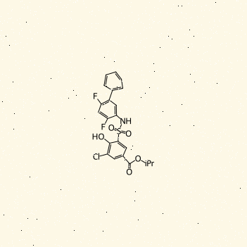 CC(C)OC(=O)c1cc(Cl)c(O)c(S(=O)(=O)Nc2cc(-c3ccccc3)c(F)cc2F)c1